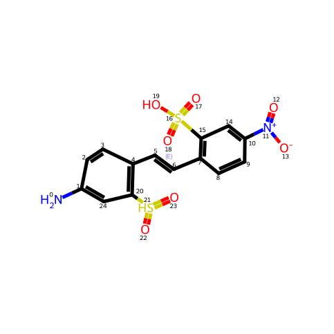 Nc1ccc(/C=C/c2ccc([N+](=O)[O-])cc2S(=O)(=O)O)c([SH](=O)=O)c1